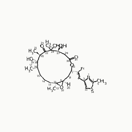 Cc1nc(C=C(F)[C@@H]2C[C@H]3O[C@@]3(C)CCC[C@H](C)[C@H](O)[C@@H](C)C(=O)C(C)(C)[C@@H](O)CC(=O)O2)cs1